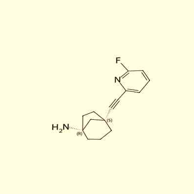 N[C@]12CCC[C@](C#Cc3cccc(F)n3)(CC1)C2